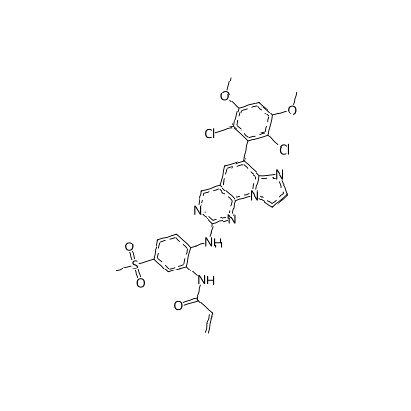 C=CC(=O)Nc1cc(S(C)(=O)=O)ccc1Nc1ncc2cc(-c3c(Cl)c(OC)cc(OC)c3Cl)c3nccn3c2n1